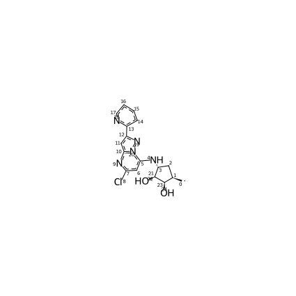 [CH2][C@@H]1C[C@@H](Nc2cc(Cl)nc3cc(-c4ccccn4)nn23)[C@H](O)[C@@H]1O